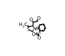 C=C1SCNC1C(=O)C=O.O=[N+]([O-])c1ccccc1